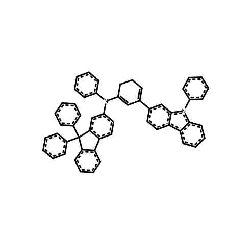 C1=C(c2ccc3c4ccccc4n(-c4ccccc4)c3c2)C=C(N(c2ccccc2)c2ccc3c(c2)C(c2ccccc2)(c2ccccc2)c2ccccc2-3)CC1